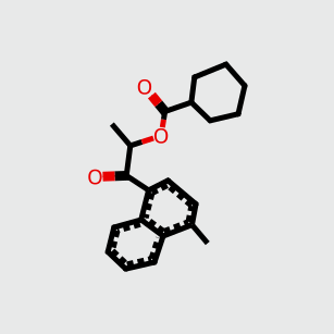 Cc1ccc(C(=O)C(C)OC(=O)C2CCCCC2)c2ccccc12